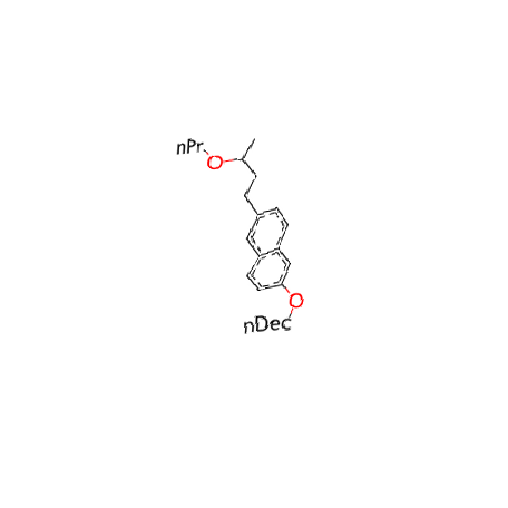 CCCCCCCCCCOc1ccc2cc(CCC(C)OCCC)ccc2c1